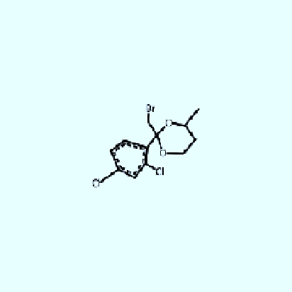 CC1CCOC(CBr)(c2ccc(Cl)cc2Cl)O1